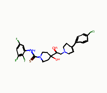 OC(CN1CCC(c2ccc(Cl)cc2)CC1)C1(O)CCN(C(=S)Nc2cc(F)cc(F)c2F)CC1